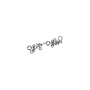 O=C(/C=C/S(=O)(=O)c1ccccc1Cl)NCCc1ccc(S(=O)(=O)NC(=O)NC2CCCCC2)cc1